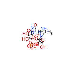 Cc1cn([C@@H]2O[C@H](CO)[C@@H](O)[C@H]2O)c(=O)nc1N.O=c1ccn([C@@H]2O[C@H](COP(=O)(O)O)[C@@H](O)[C@H]2O)c(=O)[nH]1